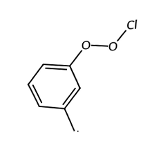 [CH2]c1cccc(OOCl)c1